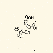 Cc1ccc(-c2sc(-c3ccnc(-c4cc(C(=O)O)cc(-c5cc(C(=O)O)ccn5)n4)c3)c3c2OCCO3)s1